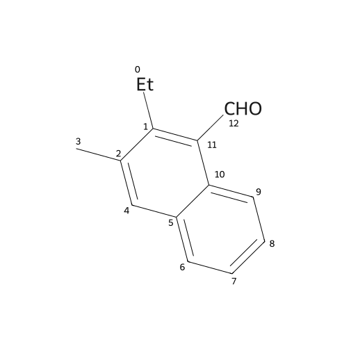 CCc1c(C)cc2ccccc2c1C=O